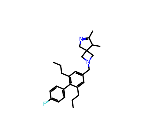 CCCc1cc(CN2CC3(CN=C(C)C3C)C2)cc(CCC)c1-c1ccc(F)cc1